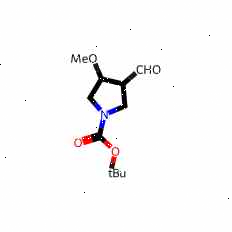 COC1CN(C(=O)OC(C)(C)C)CC1C=O